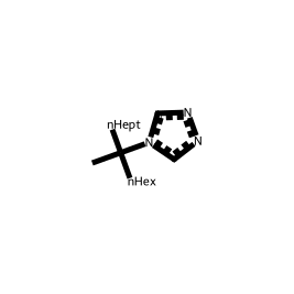 CCCCCCCC(C)(CCCCCC)n1cnnc1